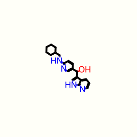 OC(c1ccc(NCC2CCCCC2)nc1)c1c[nH]c2ncccc12